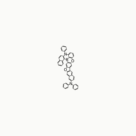 c1ccc(N(c2ccccc2)c2ccc3cc4c(cc3c2)oc2cc3c(cc24)Oc2cccc4c2B3c2c(ccc3ccccc23)N4c2ccccc2)cc1